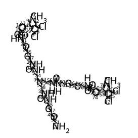 CN1Cc2c(Cl)cc(Cl)cc2[C@H](c2cccc(S(=O)(=O)NCCOCCOCCNC(=O)NCCCN(CCCNC(=O)NCCOCCOCCN)CCCNC(=O)NCCOCCOCCNS(=O)(=O)c3cccc([C@@H]4CN(C)Cc5c(Cl)cc(Cl)cc54)c3)c2)C1